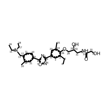 CCc1cc(-c2noc(-c3ccc(CN(CC)CC)c(C)c3)n2)cc(C)c1OC[C@@H](O)CNC(=O)CO